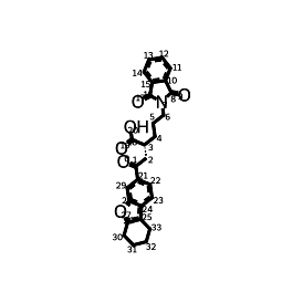 O=C(C[C@@H](CCCN1C(=O)c2ccccc2C1=O)C(=O)O)c1ccc2c3c(oc2c1)CCCC3